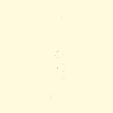 CCCCCOc1ccc(-c2ccc(CC[C@H]3CC[C@H](CCC)CC3)cn2)cc1